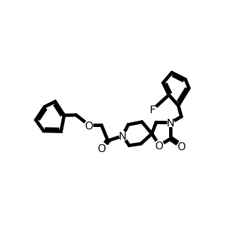 O=C(COCc1ccccc1)N1CCC2(CC1)CN(Cc1ccccc1F)C(=O)O2